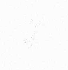 Ic1ccc2c(NCCN3CCC(=C4c5ccccc5CCc5ccccc54)CC3)ccnc2c1